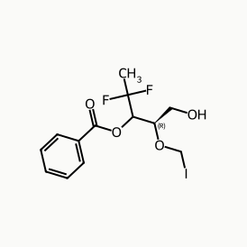 CC(F)(F)C(OC(=O)c1ccccc1)[C@@H](CO)OCI